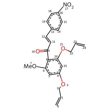 C=CCOc1cc(OC)c(C(=O)C=Cc2ccc([N+](=O)[O-])cc2)c(OCC=C)c1